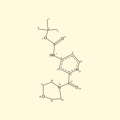 CC(C)(C)OC(=O)Nc1ccnc(C(=O)N2CCOCC2)c1